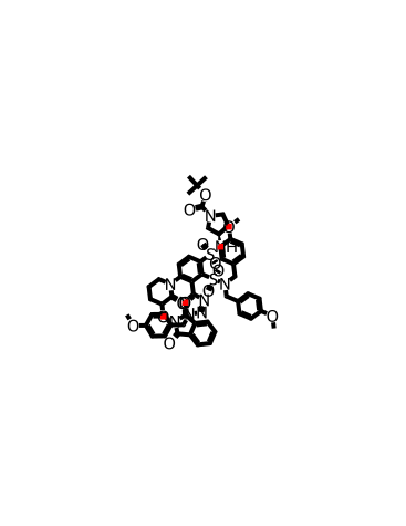 COc1ccc(CN(Cc2ccc(OC)cc2)S(=O)(=O)c2c(S(=O)(=O)N[C@@H]3CCN(C(=O)OC(C)(C)C)C3)ccc(N3CCCC(ON4C(=O)c5ccccc5C4=O)C3=O)c2-c2nnn(Cc3ccc(OC)cc3)n2)cc1